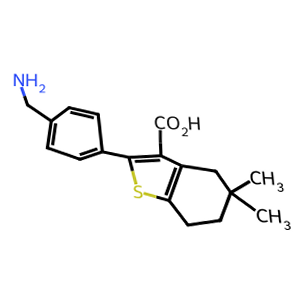 CC1(C)CCc2sc(-c3ccc(CN)cc3)c(C(=O)O)c2C1